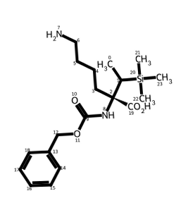 CC([C@@](CCCCN)(NC(=O)OCc1ccccc1)C(=O)O)[Si](C)(C)C